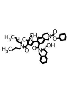 CCCCN(CCCC)C(=O)c1cc(-c2cc3c(cc2C(=O)N2Cc4ccccc4C[C@H]2CO)CN(C(=O)Oc2ccccc2)CC3)n(C)c1C